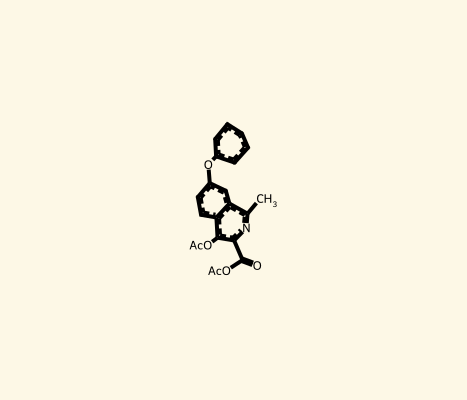 CC(=O)OC(=O)c1nc(C)c2cc(Oc3ccccc3)ccc2c1OC(C)=O